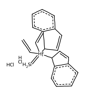 C=[CH][Hf](=[SiH2])([CH]=C)([CH]1C=Cc2ccccc21)[CH]1C=Cc2ccccc21.Cl.Cl